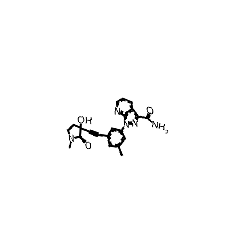 Cc1cc(C#CC2(O)CCN(C)C2=O)cc(-n2nc(C(N)=O)c3cccnc32)c1